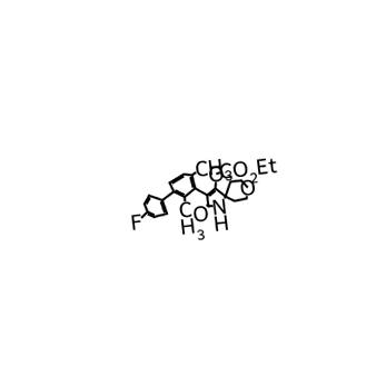 CCOC(=O)OC1=C(c2c(C)ccc(-c3ccc(F)cc3)c2C)C(=O)NC12CCOCC2